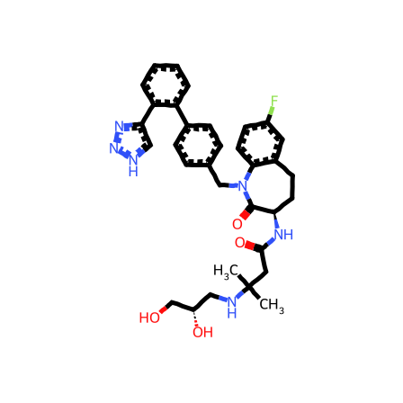 CC(C)(CC(=O)N[C@@H]1CCc2cc(F)ccc2N(Cc2ccc(-c3ccccc3-c3c[nH]nn3)cc2)C1=O)NC[C@H](O)CO